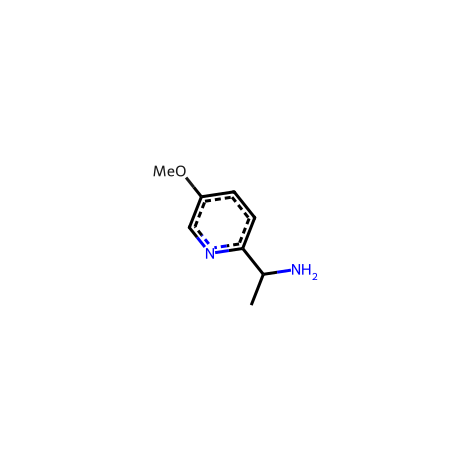 COc1ccc(C(C)N)nc1